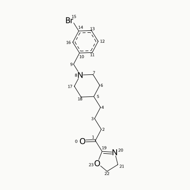 O=C(CCCC1CCN(Cc2cccc(Br)c2)CC1)C1=NCCO1